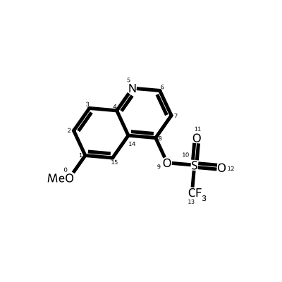 COc1ccc2nccc(OS(=O)(=O)C(F)(F)F)c2c1